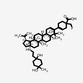 C=C(C)[C@@H]1CC[C@]2(NCCC3(O)CCC(C)(O)CC3)CC[C@]3(C)[C@H](CC[C@@H]4[C@@]5(C)CC=C(C6=CCC(CF)(C(=O)O)CC6)C(C)(C)[C@@H]5CC[C@]43C)[C@@H]12